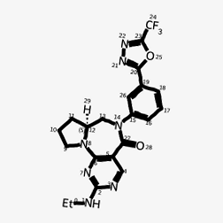 CCNc1ncc2c(n1)N1CCC[C@H]1CN(c1cccc(-c3nnc(C(F)(F)F)o3)c1)C2=O